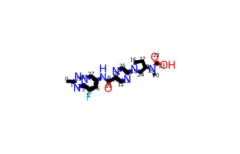 Cc1nc2c(F)cc(NC(=O)c3cnc(N4CC[C@@H](N(C)C(=O)O)C4)cn3)cn2n1